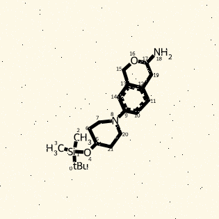 CC(C)(C)[Si](C)(C)OC1CCN(c2ccc3c(c2)COC(N)C3)CC1